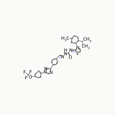 Cc1ccc(C(C)C)c(-n2ccs/c2=N\C(=O)N/N=C/c2ccc(-c3ncn(-c4ccc(OC(F)(F)F)cc4)n3)cc2)c1